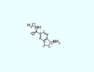 CNC(=O)c1ccc2c(c1)CCC2N